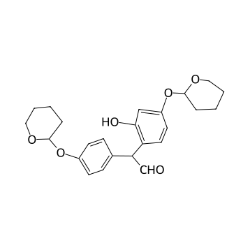 O=CC(c1ccc(OC2CCCCO2)cc1)c1ccc(OC2CCCCO2)cc1O